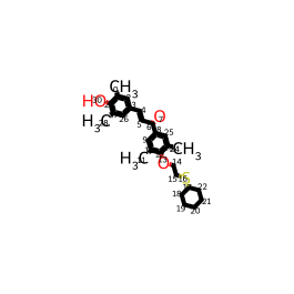 Cc1cc(C=CC(=O)c2cc(C)c(OCCSC3CCCCC3)c(C)c2)cc(C)c1O